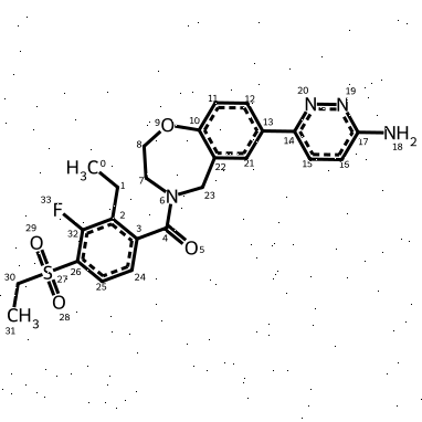 CCc1c(C(=O)N2CCOc3ccc(-c4ccc(N)nn4)cc3C2)ccc(S(=O)(=O)CC)c1F